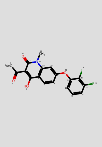 COC(=O)c1c(O)c2ccc(Oc3cccc(F)c3F)cc2n(C)c1=O